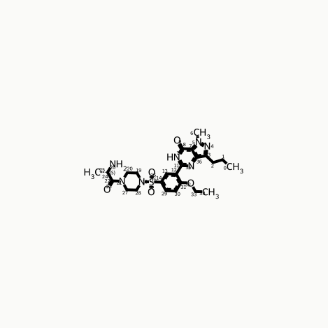 CCCc1nn(C)c2c(=O)[nH]c(-c3cc(S(=O)(=O)N4CCN(C(=O)[C@H](C)N)CC4)ccc3OCC)nc12